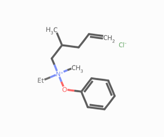 C=CCC(C)C[N+](C)(CC)Oc1ccccc1.[Cl-]